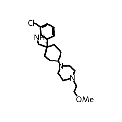 COCCN1CCN(C2CCC(CN)(C3C=CC=C(Cl)C3)CC2)CC1